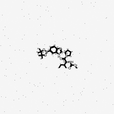 CCC(C)[C@H](NC(=O)OC)C(=O)N1CCC[C@H]1c1nc2ccc(B3OC(C)(C)C(C)(C)O3)cc2[nH]1